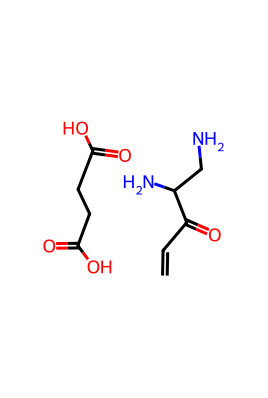 C=CC(=O)C(N)CN.O=C(O)CCC(=O)O